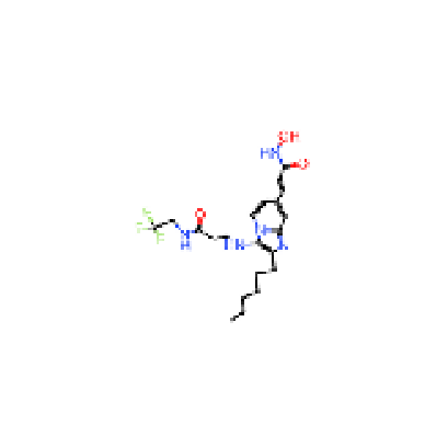 CCCCCCc1nc2cc(/C=C/C(=O)NO)ccn2c1NCCC(=O)NCC(F)(F)F